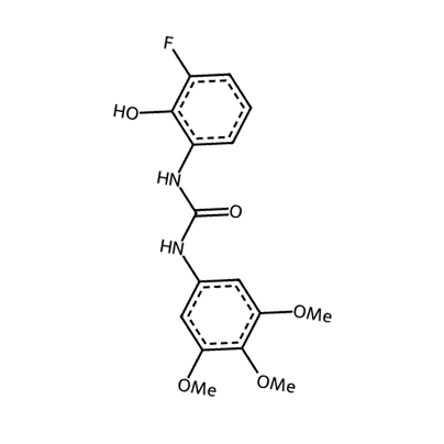 COc1cc(NC(=O)Nc2cccc(F)c2O)cc(OC)c1OC